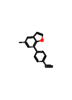 COc1ccc(-c2cc(C)cc3ccoc23)cc1